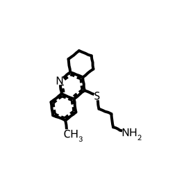 Cc1ccc2nc3c(c(SCCCN)c2c1)CCCC3